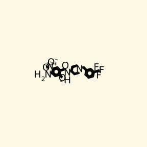 COc1cc(N)c([N+](=O)[O-])cc1C(=O)NC1CCN(Cc2cccc(C(F)(F)F)c2)CC1